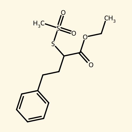 CCOC(=O)C(CCc1ccccc1)SS(C)(=O)=O